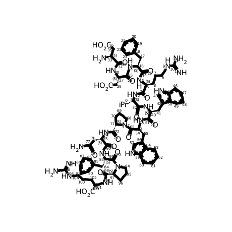 CC(C)[C@H](NC(=O)[C@H](CCCNC(=N)N)NC(=O)[C@H](Cc1ccccc1)NC(=O)[C@H](CC(=O)O)NC(=O)[C@@H](N)CC(=O)O)C(=O)N[C@@H](Cc1c[nH]c2ccccc12)C(=O)N[C@@H](Cc1c[nH]c2ccccc12)C(=O)N1CCC[C@H]1C(=O)N[C@@H](CC(N)=O)C(=O)N[C@@H](Cc1ccccc1)C(=O)N1CCC[C@H]1C(=O)N[C@@H](CCCNC(=N)N)C(=O)O